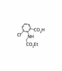 CCOC(=O)CNc1c(Cl)cccc1C(=O)O